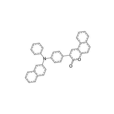 O=c1oc2ccc3ccccc3c2cc1-c1ccc(N(c2ccccc2)c2ccc3ccccc3c2)cc1